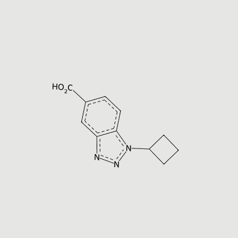 O=C(O)c1ccc2c(c1)nnn2C1CCC1